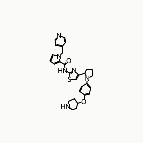 O=C(Nc1nc(C2CCCN2c2ccc(OC3CCNCC3)cc2)cs1)c1cccn1Cc1ccncc1